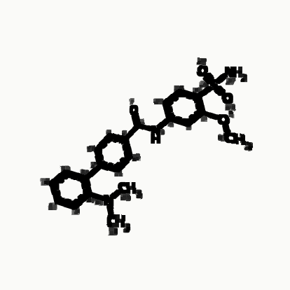 COc1cc(NC(=O)c2ccc(-c3ccccc3N(C)C)cc2)ccc1S(N)(=O)=O